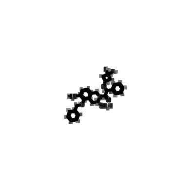 Cc1ccc2c(c1OCc1ccccc1)C[C@@H](C(=O)O)N(C(=O)C(OC1CC(F)(F)C1)c1ccccc1)C2